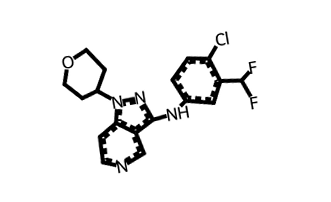 FC(F)c1cc(Nc2nn(C3CCOCC3)c3ccncc23)ccc1Cl